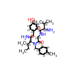 CC[C@H](C)[C@@H](C(N)=O)N(Cc1ccc(C)cc1)C(=O)[C@H](Cc1ccc(O)cc1)NC(=O)[C@@H](N)C(C)C